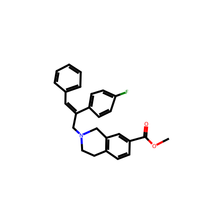 COC(=O)c1ccc2c(c1)CN(CC(=Cc1ccccc1)c1ccc(F)cc1)CC2